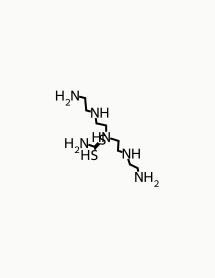 NC(=S)S.NCCNCCNCCNCCN